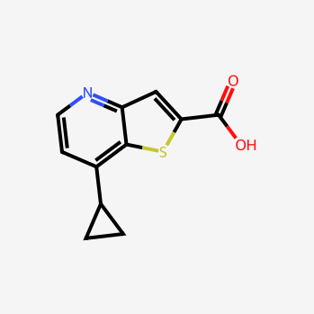 O=C(O)c1cc2nccc(C3CC3)c2s1